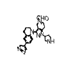 Cn1cc(-c2ccc3c(c2)CCCN3c2nn(C3CCNC3)c3c2CN(C=O)CC3)cn1